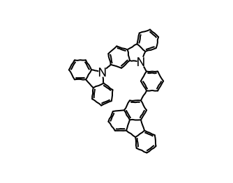 c1cc(-c2cc3c4c(cccc4c2)-c2ccccc2-3)cc(-n2c3ccccc3c3ccc(-n4c5ccccc5c5ccccc54)cc32)c1